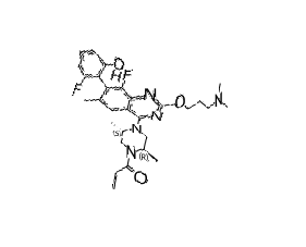 C=CC(=O)N1C[C@H](C)N(c2nc(OCCCN(C)C)nc3c(F)c(-c4c(O)cccc4F)c(C)cc23)C[C@H]1C